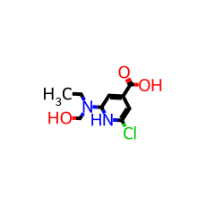 CCN(CO)C1C=C(C(=O)O)C=C(Cl)N1